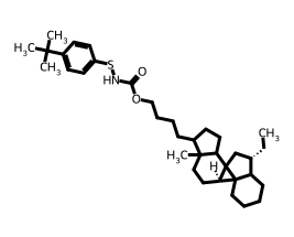 CC[C@H]1CC23C4CCC(CCCCOC(=O)NSc5ccc(C(C)(C)C)cc5)C4(C)CC[C@@H]2C32CCCCC12